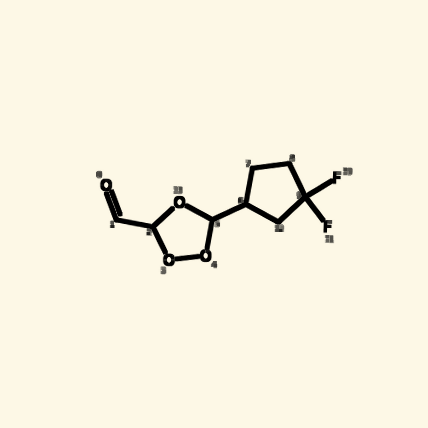 O=CC1OOC(C2CCC(F)(F)C2)O1